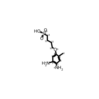 Cc1cc(N)c(N)cc1OCCCCS(=O)(=O)O